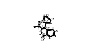 CC(Br)c1oc(=O)c2ccccc2c1-c1ccccn1